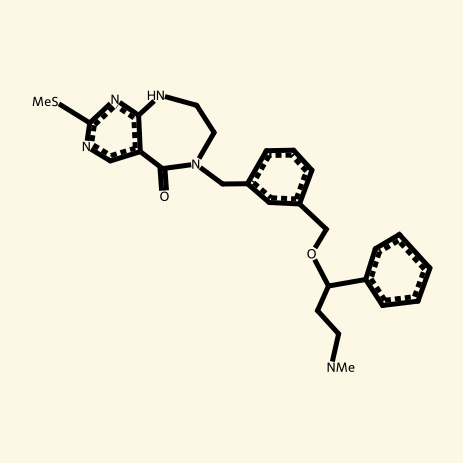 CNCCC(OCc1cccc(CN2CCNc3nc(SC)ncc3C2=O)c1)c1ccccc1